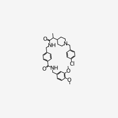 COc1ccc(CNC(=O)c2ccc(CNC(=O)C(C)C3CCN(Cc4ccc(Cl)cc4)CC3)cc2)cc1OC